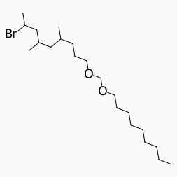 CCCCCCCCCOCOCCCC(C)CC(C)CC(C)Br